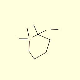 CCC1(OC(C)(C)C)CCCC[Si]1(CC)CC